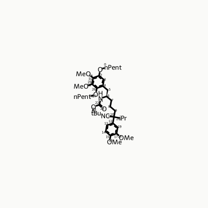 CCCCCOc1cc(C[C@@H](CCCC(C#N)(c2ccc(OC)c(OC)c2)C(C)C)NC(=O)OC(C)(C)C)c(OCCCCC)c(OC)c1OC